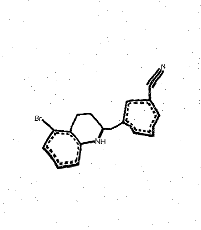 N#Cc1cccc(C2CCc3c(Br)cccc3N2)c1